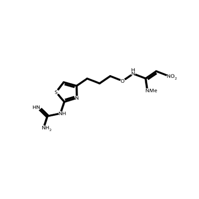 CN/C(=C\[N+](=O)[O-])NOCCCc1csc(NC(=N)N)n1